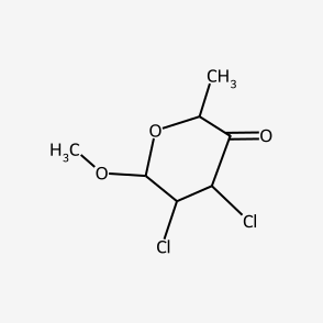 COC1OC(C)C(=O)C(Cl)C1Cl